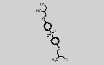 CC(CCl)COc1ccc(S(=O)(=O)c2ccc(OCC(O)CO)cc2)cc1